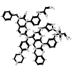 C=CC(=O)Nc1cccc(N2C(=O)N(Cc3ccccc3)Cc3cnc(N(c4ccc(N5CCOCC5)nc4)c4nc(Nc5cnn(C)c5)nc5c4CN(Cc4ccccc4)C(=O)N5c4cccc(NS(=O)(=O)C=C)c4)nc32)c1